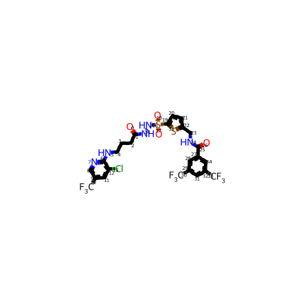 O=C(CCCNc1ncc(C(F)(F)F)cc1Cl)NNS(=O)(=O)c1ccc(CNC(=O)c2cc(C(F)(F)F)cc(C(F)(F)F)c2)s1